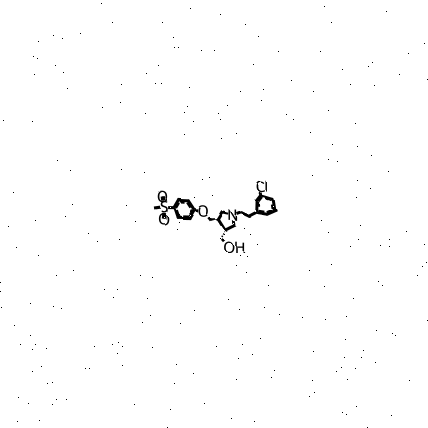 CS(=O)(=O)c1ccc(OC[C@H]2CN(CCc3cccc(Cl)c3)C[C@@H]2CO)cc1